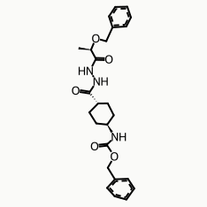 C[C@@H](OCc1ccccc1)C(=O)NNC(=O)[C@H]1CC[C@H](NC(=O)OCc2ccccc2)CC1